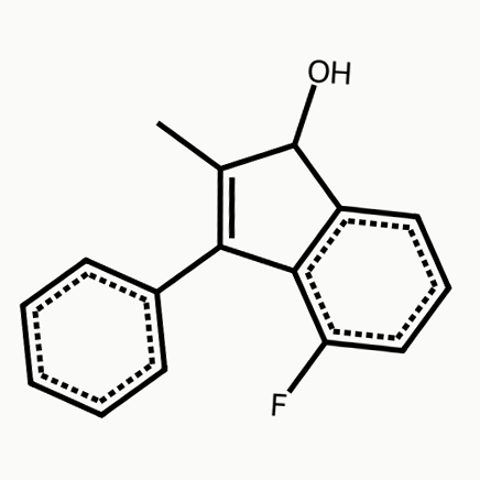 CC1=C(c2ccccc2)c2c(F)cccc2C1O